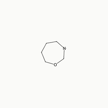 C1CCOC[N]C1